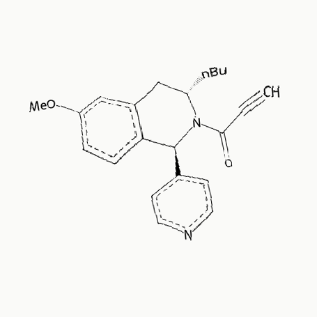 C#CC(=O)N1[C@@H](CCCC)Cc2cc(OC)ccc2[C@@H]1c1ccncc1